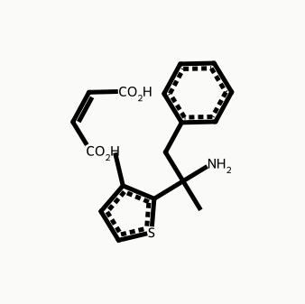 Cc1ccsc1C(C)(N)Cc1ccccc1.O=C(O)/C=C\C(=O)O